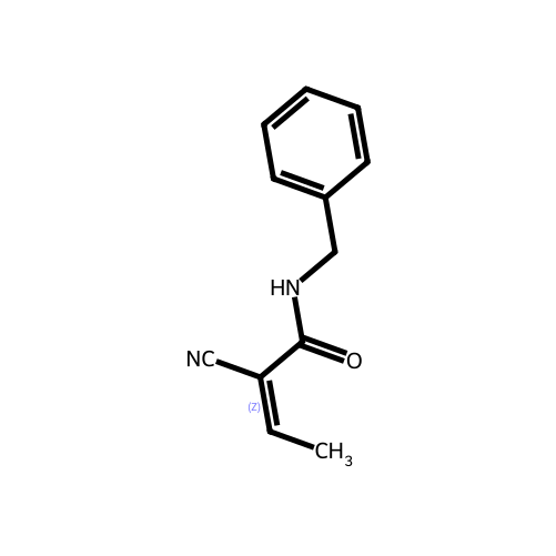 C/C=C(/C#N)C(=O)NCc1ccccc1